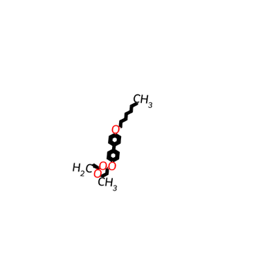 C=CC(=O)OC(CCC)Oc1ccc(-c2ccc(OCCCCCCCC)cc2)cc1